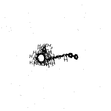 CC[C@H]1OC(=O)[C@H](C)C(=O)[C@H](C)[C@@H](O[C@@H]2O[C@H](C)C[C@H](N(C)C)[C@H]2O)[C@@](C)(OC)C[C@@H](C)/C(=N\OCCNCCCOCCCNCc2ccc(-c3ccccc3)cc2)[C@@H](C)[C@@H](O)[C@]1(C)O